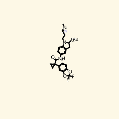 C/N=C/CCN1c2ccc(NC(=O)C3(c4ccc5c(c4)OC(F)(F)O5)CC3)cc2CC1C(C)(C)C